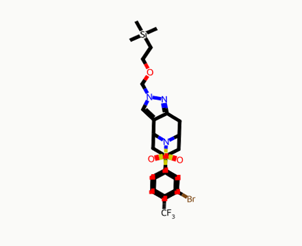 C[Si](C)(C)CCOCn1cc2c(n1)CC1CC(c3cccc(Br)c3)CC2N1S(=O)(=O)c1ccc(C(F)(F)F)cc1